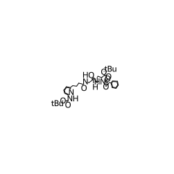 CC(C)(C)OC(=O)Nc1cccc(CCCC(=O)NCC(=O)NCC(NS(=O)(=O)c2ccccc2)C(=O)OC(C)(C)C)n1